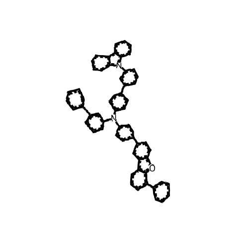 c1ccc(-c2cccc(N(c3ccc(-c4cccc(-n5c6ccccc6c6ccccc65)c4)cc3)c3ccc(-c4ccc5oc6c(-c7ccccc7)cccc6c5c4)cc3)c2)cc1